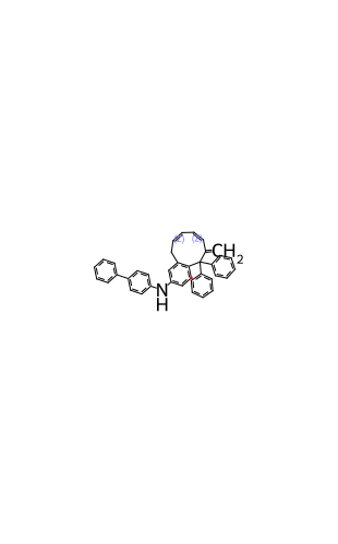 C=C1/C=C\C=C/Cc2cc(Nc3ccc(-c4ccccc4)cc3)ccc2C1(c1ccccc1)c1ccccc1